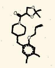 C=CCOc1cc(C)c(C)cc1CC1CCN(C(=O)C2COC(C)(C)O2)CC1